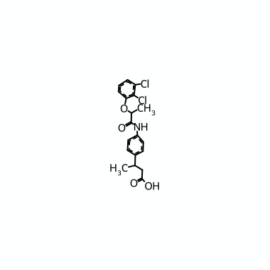 CC(Oc1cccc(Cl)c1Cl)C(=O)Nc1ccc(C(C)CC(=O)O)cc1